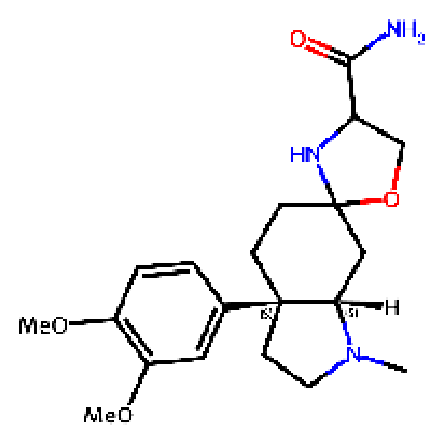 COc1ccc([C@]23CCN(C)[C@H]2CC2(CC3)NC(C(N)=O)CO2)cc1OC